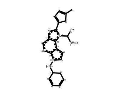 CCCCCCC(CC)n1c(C2=CC=C(C)C2)nc2cnc3c(ccn3NC3C=CC=CC3)c21